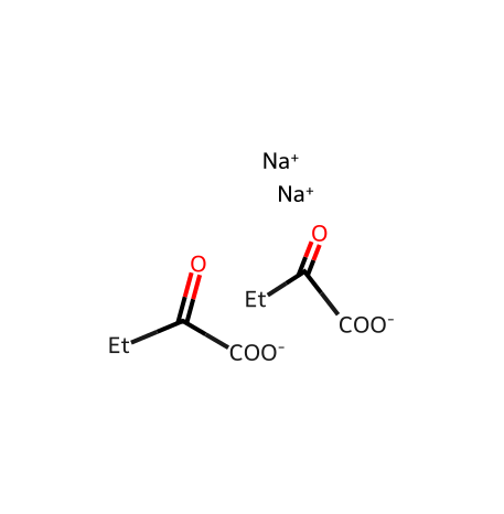 CCC(=O)C(=O)[O-].CCC(=O)C(=O)[O-].[Na+].[Na+]